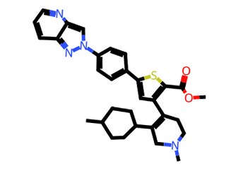 COC(=O)c1sc(-c2ccc(-n3cc4ncccc4n3)cc2)cc1C1=C(C2CCC(C)CC2)CN(C)CC1